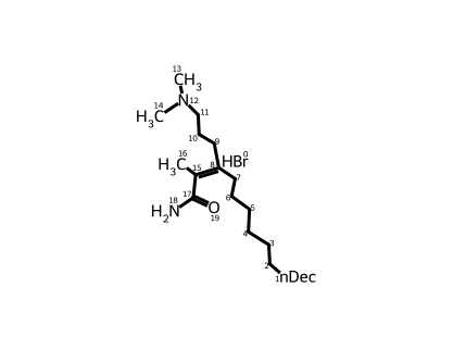 Br.CCCCCCCCCCCCCCCCC(CCCN(C)C)=C(C)C(N)=O